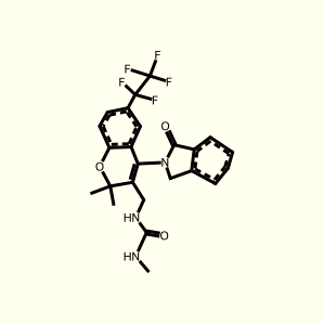 CNC(=O)NCC1=C(N2Cc3ccccc3C2=O)c2cc(C(F)(F)C(F)(F)F)ccc2OC1(C)C